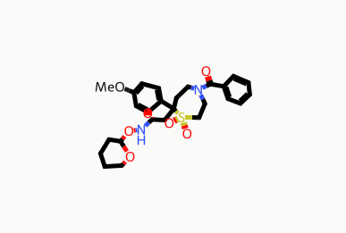 COc1ccc(C2(CC(=O)NOC3CCCCO3)CCN(C(=O)c3ccccc3)CCS2(=O)=O)cc1